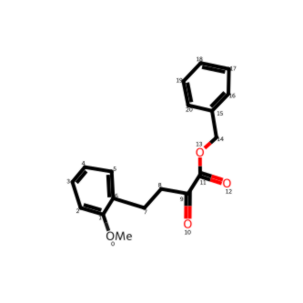 COc1ccccc1CCC(=O)C(=O)OCc1ccccc1